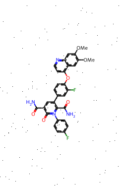 COc1cc2nccc(Oc3ccc(-c4cc(C(N)=O)c(=O)n(-c5ccc(F)cc5)c4C(N)=O)cc3F)c2cc1OC